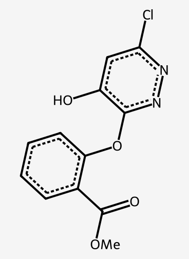 COC(=O)c1ccccc1Oc1nnc(Cl)cc1O